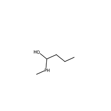 CCCC(O)PC